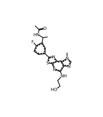 CC(=O)NC(C)c1cc(-c2nc3c(nc(NCCO)c4ncn(C)c43)s2)ccc1F